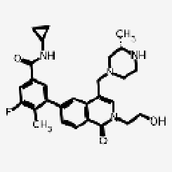 Cc1c(F)cc(C(=O)NC2CC2)cc1-c1ccc2c(=O)n(CCO)cc(CN3CCN[C@@H](C)C3)c2c1